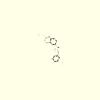 CCCCCCC1CCc2cc(C(=O)NCc3cc(C(F)(F)F)cc(C(F)(F)F)c3)ccc2C1=O